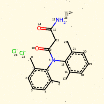 Cc1cccc(C)c1N(C(=O)CC(N)=O)c1c(C)cccc1C.[Cl-].[Cl-].[Ti+2]